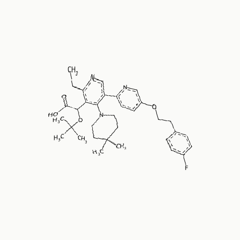 CCc1ncc(-c2ccc(OCCc3ccc(F)cc3)cn2)c(N2CCC(C)(C)CC2)c1C(OC(C)(C)C)C(=O)O